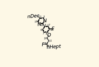 CCCCCCCCCCc1cnc(-c2ccc(OCCC(F)CCCCCCC)c(F)c2)nc1